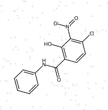 O=C(Nc1ccccc1)c1ccc(Cl)c([N+](=O)[O-])c1O